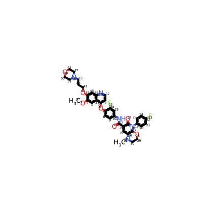 COc1cc2c(Oc3ccc(NC(=O)c4cc5c(n(-c6ccc(F)cc6)c4=O)OCCN5C)cc3F)ccnc2cc1OCCCN1CCOCC1